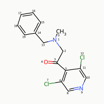 CN(CC(=O)c1c(Cl)cncc1Cl)Cc1ccccc1